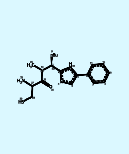 CCCC[C@@H](c1ncc(-c2ccccc2)[nH]1)N(C)C(=O)C(N)CS